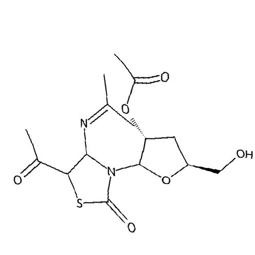 CC(=O)O[C@@H]1C[C@@H](CO)OC1N1C(=O)SC(C(C)=O)C1N=C(C)C